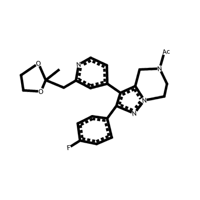 CC(=O)N1CCn2nc(-c3ccc(F)cc3)c(-c3ccnc(CC4(C)OCCO4)c3)c2C1